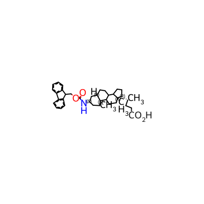 CC(CCC(=O)O)[C@H]1CCC2C3CC[C@@H]4C[C@@H](NC(=O)OCC5c6ccccc6-c6ccccc65)CC[C@]4(C)C3CC[C@@]21C